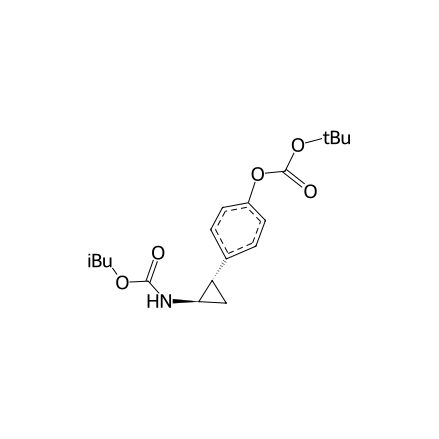 CCC(C)OC(=O)N[C@@H]1C[C@H]1c1ccc(OC(=O)OC(C)(C)C)cc1